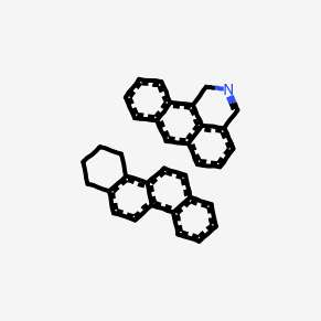 C1=NCc2c3ccccc3cc3cccc1c23.c1ccc2c(c1)ccc1c3c(ccc12)CCCC3